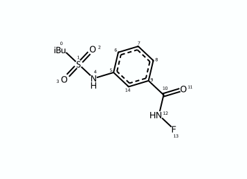 CCC(C)S(=O)(=O)Nc1cccc(C(=O)NF)c1